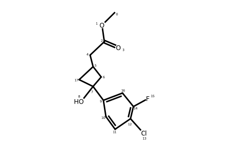 COC(=O)CC1CC(O)(c2ccc(Cl)c(F)c2)C1